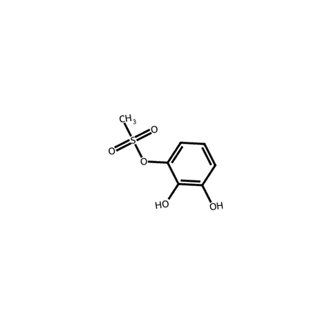 CS(=O)(=O)Oc1cccc(O)c1O